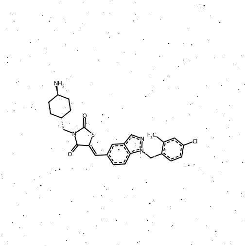 N[C@H]1CC[C@H](CN2C(=O)SC(=Cc3ccc4c(cnn4Cc4ccc(Cl)cc4C(F)(F)F)c3)C2=O)CC1